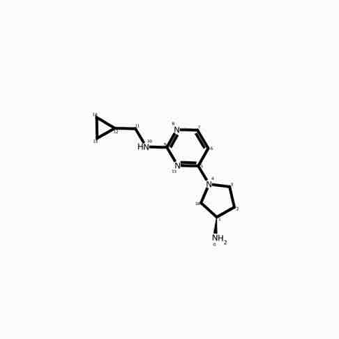 N[C@@H]1CCN(c2ccnc(NCC3CC3)n2)C1